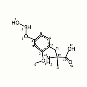 COc1cc(OBO)ccc1C[C@@](C)(N)C(=O)O